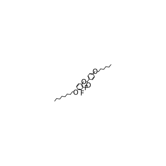 CCCCCCCCOc1ccc(OC(=O)c2ccc(OCCCCCC)cc2)c(F)c1F